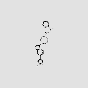 C[C@@H](OC(=O)N1CCCN(c2cnc3cc(-c4cnn(C)c4)ccn23)CC1)c1ccccc1